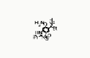 CCC(N)c1cc2c(cc1ON)NC(C(C)C)=NS2(=O)=O